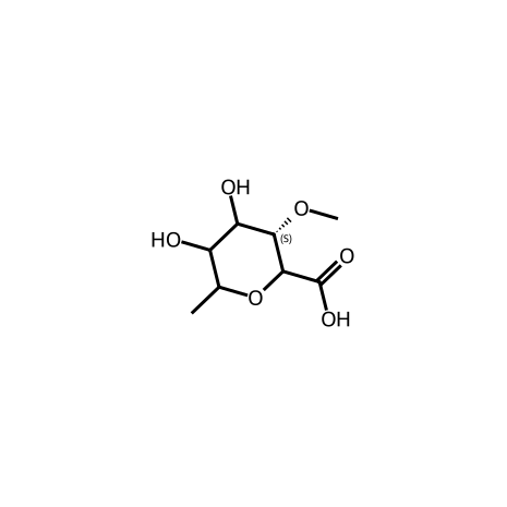 CO[C@@H]1C(C(=O)O)OC(C)C(O)C1O